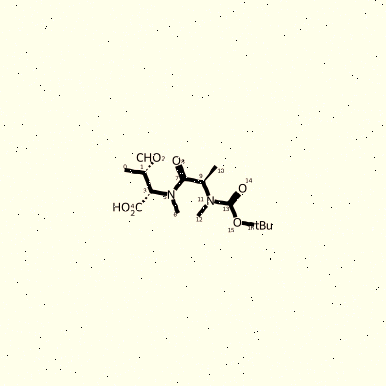 C[C@H](C=O)[C@@H](C(=O)O)N(C)C(=O)[C@@H](C)N(C)C(=O)OC(C)(C)C